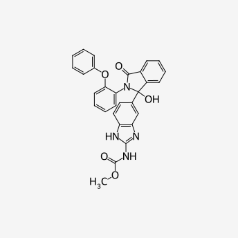 COC(=O)Nc1nc2cc(C3(O)c4ccccc4C(=O)N3c3ccccc3Oc3ccccc3)ccc2[nH]1